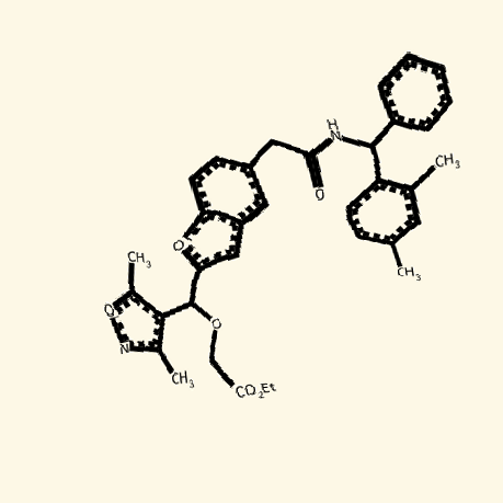 CCOC(=O)COC(c1cc2cc(CC(=O)NC(c3ccccc3)c3ccc(C)cc3C)ccc2o1)c1c(C)noc1C